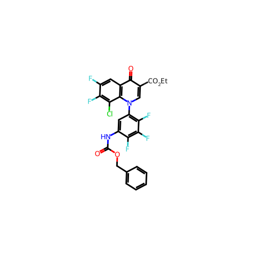 CCOC(=O)c1cn(-c2cc(NC(=O)OCc3ccccc3)c(F)c(F)c2F)c2c(Cl)c(F)c(F)cc2c1=O